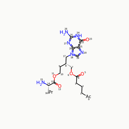 CC(=O)CCCC(=O)OC[C@H](CCOC(=O)[C@@H](N)C(C)C)Cn1cnc2c(=O)[nH]c(N)nc21